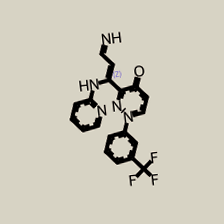 N=C/C=C(\Nc1ccccn1)c1nn(-c2cccc(C(F)(F)F)c2)ccc1=O